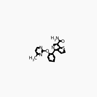 Cc1ccnc(Oc2ccccc2-c2ncc(C(N)=O)c3sccc23)n1